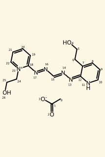 CC(=O)[O-].OCCc1ccc[nH]/c1=N/N=C/N=N/c1cccc[n+]1CCO